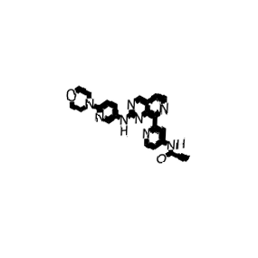 C#CC(=O)Nc1ccnc(-c2nccc3cnc(Nc4ccc(N5CCOCC5)nc4)nc23)c1